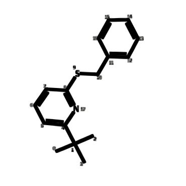 CC(C)(C)c1cccc(SCc2ccccc2)n1